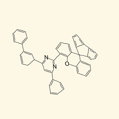 C1=CC(c2ccccc2)=CC(c2cc(-c3ccccc3)nc(-c3cccc4c3Oc3ccccc3C43c4ccccc4-c4ccccc43)n2)C1